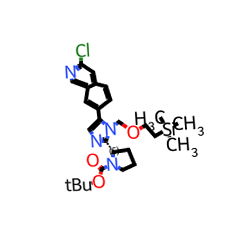 CC(C)(C)OC(=O)N1CCC[C@H]1c1ncc(-c2ccc3cc(Cl)ncc3c2)n1COCC[Si](C)(C)C